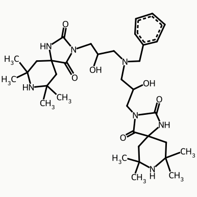 CC1(C)CC2(CC(C)(C)N1)NC(=O)N(CC(O)CN(Cc1ccccc1)CC(O)CN1C(=O)NC3(CC(C)(C)NC(C)(C)C3)C1=O)C2=O